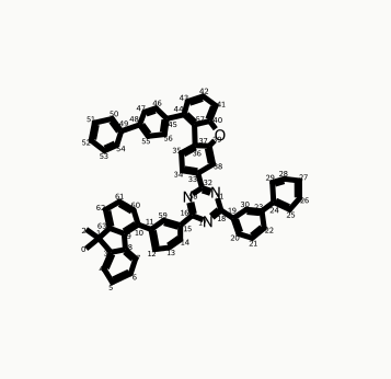 CC1(C)c2ccccc2-c2c(-c3cccc(-c4nc(-c5cccc(-c6ccccc6)c5)nc(-c5ccc6c(c5)oc5cccc(-c7ccc(-c8ccccc8)cc7)c56)n4)c3)cccc21